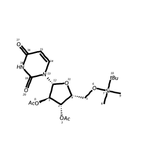 CC(=O)O[C@@H]1[C@@H](OC(C)=O)[C@@H](CO[Si](C)(C)C(C)(C)C)O[C@H]1n1ccc(=O)[nH]c1=O